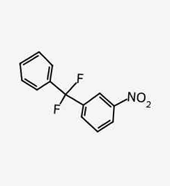 O=[N+]([O-])c1cccc(C(F)(F)c2ccccc2)c1